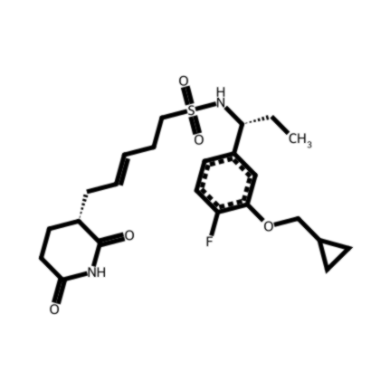 CC[C@@H](NS(=O)(=O)CC/C=C/C[C@H]1CCC(=O)NC1=O)c1ccc(F)c(OCC2CC2)c1